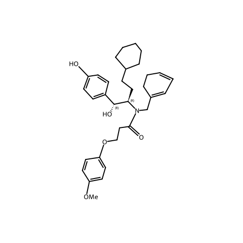 COc1ccc(OCCC(=O)N(CC2=CC=CCC2)[C@H](CCC2CCCCC2)[C@H](O)c2ccc(O)cc2)cc1